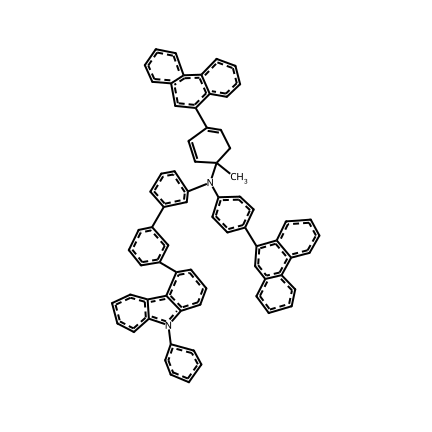 CC1(N(c2ccc(-c3cc4ccccc4c4ccccc34)cc2)c2cccc(-c3cccc(-c4cccc5c4c4ccccc4n5-c4ccccc4)c3)c2)C=CC(c2cc3ccccc3c3ccccc23)=CC1